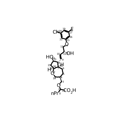 CCCC(OC[C@@H]1CC[C@@H]2[C@@H](/C=C/[C@@H](O)COc3cc(F)cc(Cl)c3)[C@H](O)C[C@@H]2OC1)C(=O)O